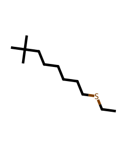 CCSCCCCCCC(C)(C)C